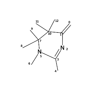 C=C1N=C(C)N(C)C(C)(C)C1(C)C